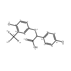 O=C(O)C(Oc1ccc(Cl)c(C(F)(F)F)c1)c1ccc(Cl)cc1